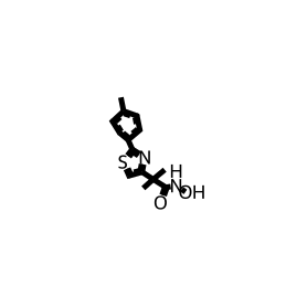 Cc1ccc(-c2nc(C(C)(C)C(=O)NO)cs2)cc1